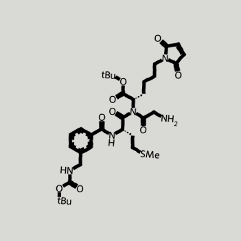 CSCC[C@H](NC(=O)c1cccc(CNC(=O)OC(C)(C)C)c1)C(=O)N(C(=O)CN)[C@@H](CCCCN1C(=O)C=CC1=O)C(=O)OC(C)(C)C